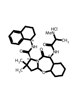 CNC(C)C(=O)N[C@@H]1C(=O)N2C(CC(C)(C)[C@H]2C(=O)N[C@@H]2CCCc3ccccc32)OC2CCCCC21.Cl